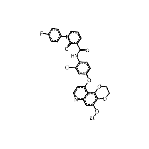 CCOc1cc2nccc(Oc3ccc(NC(=O)c4cccn(-c5ccc(F)cc5)c4=O)c(Cl)c3)c2c2c1OCCO2